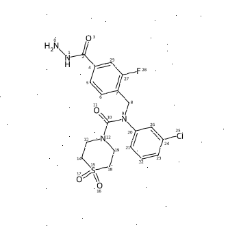 NNC(=O)c1ccc(CN(C(=O)N2CCS(=O)(=O)CC2)c2cccc(Cl)c2)c(F)c1